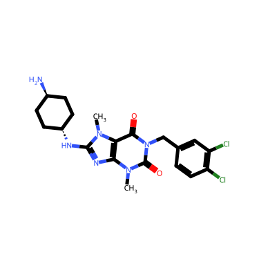 Cn1c(N[C@H]2CC[C@H](N)CC2)nc2c1c(=O)n(Cc1ccc(Cl)c(Cl)c1)c(=O)n2C